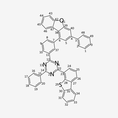 c1ccc(-c2cc(-c3cccc(-c4nc(-c5ccccc5)nc(-c5cccc6c5sc5ccccc56)n4)c3)c3c(c2)oc2ccccc23)cc1